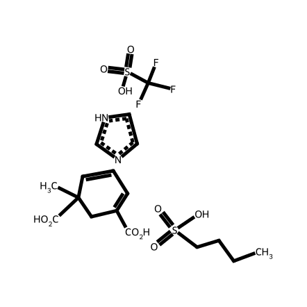 CC1(C(=O)O)C=CC=C(C(=O)O)C1.CCCCS(=O)(=O)O.O=S(=O)(O)C(F)(F)F.c1c[nH]cn1